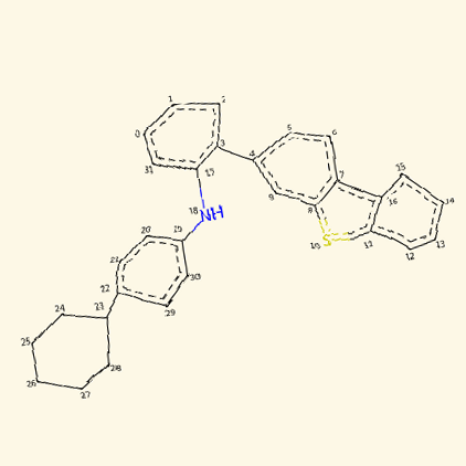 c1ccc(-c2ccc3c(c2)sc2ccccc23)c(Nc2ccc(C3CCCCC3)cc2)c1